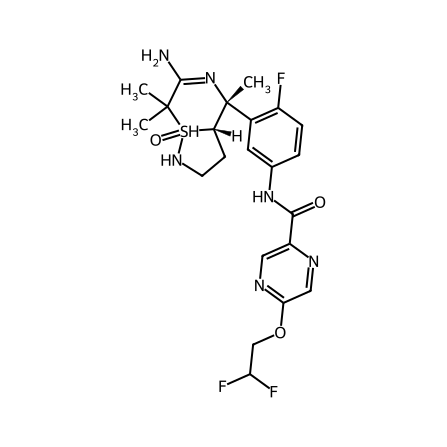 CC1(C)C(N)=N[C@](C)(c2cc(NC(=O)c3cnc(OCC(F)F)cn3)ccc2F)[C@@H]2CCN[SH]21=O